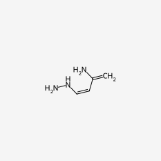 C=C(N)/C=C\NN